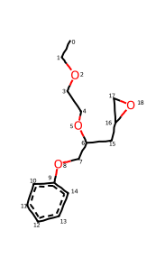 CCOCCOC(COc1ccccc1)CC1CO1